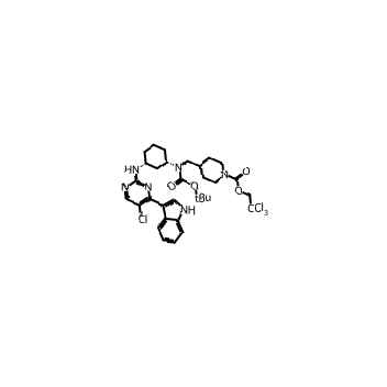 CC(C)(C)OC(=O)N(CC1CCN(C(=O)OCC(Cl)(Cl)Cl)CC1)[C@H]1CCC[C@@H](Nc2ncc(Cl)c(-c3c[nH]c4ccccc34)n2)C1